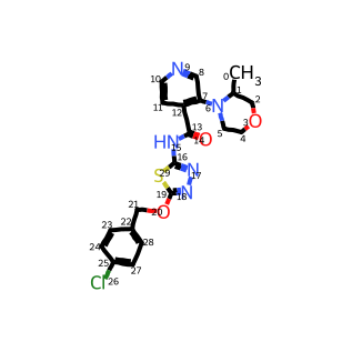 CC1COCCN1c1cnccc1C(=O)Nc1nnc(OCc2ccc(Cl)cc2)s1